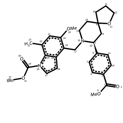 COC(=O)c1ccc([C@@H]2CC3(CCCO3)CCN2Cc2c(OC)cc(C)c3c2ccn3C(=O)OC(C)(C)C)cc1